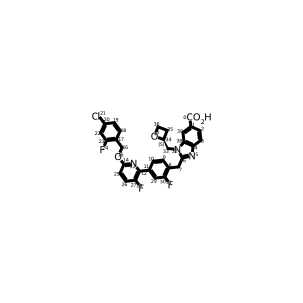 O=C(O)c1ccc2nc(Cc3ccc(-c4nc(OCc5ccc(Cl)cc5F)ccc4F)cc3F)n(C[C@@H]3CCO3)c2c1